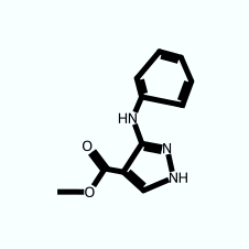 COC(=O)c1c[nH]nc1Nc1ccccc1